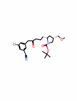 COC[C@H]1C[C@@H](CCCC(=O)Cc2cc(Cl)cc(C#N)c2)N(C(=O)OC(C)(C)C)C1